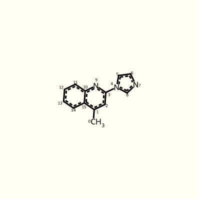 Cc1cc(-n2ccnc2)nc2ccccc12